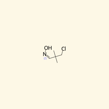 CC(C)(/C=N\O)CCl